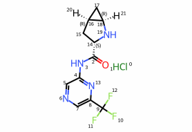 Cl.O=C(Nc1cncc(C(F)(F)F)n1)[C@@H]1C[C@H]2C[C@H]2N1